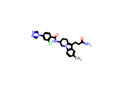 Cc1ccc2c(c1)c(CCC(N)=O)c1n2CC(NC(=O)c2ccc(-n3cnnc3)cc2Cl)CC1